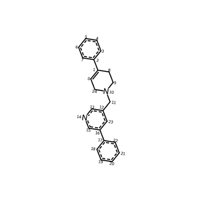 C1=C(c2ccccc2)CCN(Cc2cncc(-c3ccccc3)c2)C1